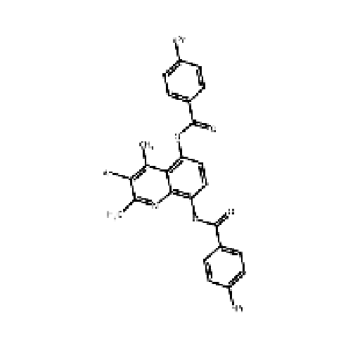 CCCc1ccc(C(=O)Oc2ccc(OC(=O)c3ccc(CCC)cc3)c3c(C)c(C(C)=O)c(C)nc23)cc1